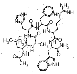 CC(=O)N[C@@H](CC(C)C)C(=O)N[C@@H](C)C(=O)N[C@@H](Cc1c[nH]cn1)C(=O)N[C@@H](Cc1ccccc1)C(=O)N[C@@H](CCCNC(=N)N)C(=O)N[C@@H](Cc1c[nH]c2ccccc12)C(N)=O